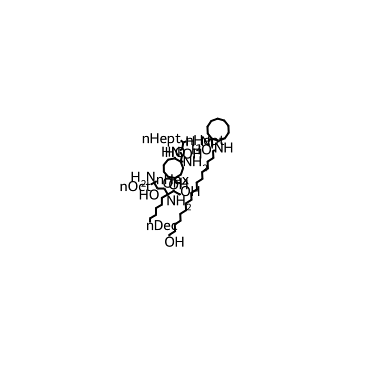 CCCCCCCC(CCCCCCC)C(O)NC1CCCCCCCC1(N)CO.CCCCCCCCCCCCCCCC(N)(C(O)CO)C(O)C(O)C(N)(CCCCCC)CCCCCCCC.NC1(CO)CCCCCCCCC1NCCCCCCCCCCCCCCCCCO